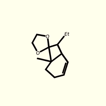 CCC1C2C=CCCC2(C)C12OCCO2